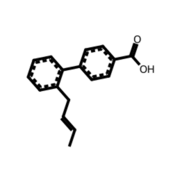 CC=CCc1ccccc1-c1ccc(C(=O)O)cc1